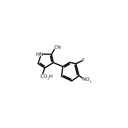 N#Cc1[nH]cc(C(=O)O)c1-c1ccc([N+](=O)[O-])c(F)c1